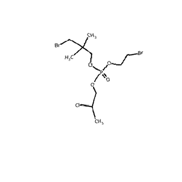 CC(Cl)COP(=O)(OCCBr)OCC(C)(C)CBr